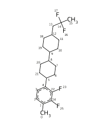 Cc1ccc(C2CCC(C3CCC(CC(C)(F)F)CC3)CC2)c(F)c1F